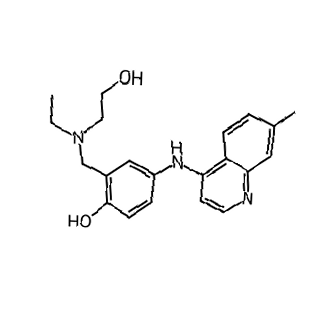 CCN(CCO)Cc1cc(Nc2ccnc3cc(C)ccc23)ccc1O